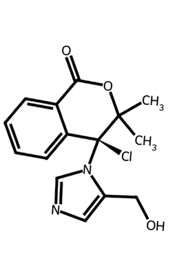 CC1(C)OC(=O)c2ccccc2[C@@]1(Cl)n1cncc1CO